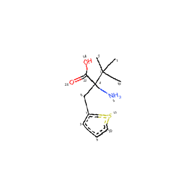 CC(C)(C)C(N)(Cc1cccs1)C(=O)O